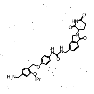 CC(C)Oc1cc(CN)ccc1COc1ccc(NC(=O)NCc2ccc3c(c2)CN(C2CCC(=O)NC2=O)C3=O)cc1